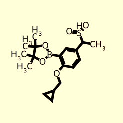 CC(c1ccc(OCC2CC2)c(B2OC(C)(C)C(C)(C)O2)c1)[SH](=O)=O